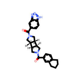 O=C(c1ccc2c(c1)CCCC2)N1C[C@@H]2[C@H](C1)[C@H]1CN(C(=O)c3ccc4[nH]nnc4c3)C[C@@H]21